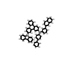 c1ccc(-c2ccc(N(c3cccc(-c4ccc5ccccc5c4)c3)c3ccc(-c4ccccc4)c(-c4cccc(-n5c6ccccc6c6ccccc65)c4)c3)cc2)cc1